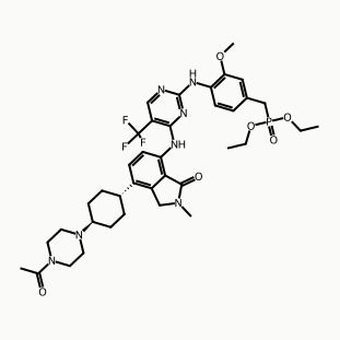 CCOP(=O)(Cc1ccc(Nc2ncc(C(F)(F)F)c(Nc3ccc([C@H]4CC[C@H](N5CCN(C(C)=O)CC5)CC4)c4c3C(=O)N(C)C4)n2)c(OC)c1)OCC